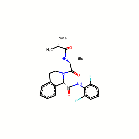 CC[C@H](C)[C@H](NC(=O)[C@H](C)NC)C(=O)N1CCc2ccccc2[C@H]1C(=O)Nc1c(F)cccc1F